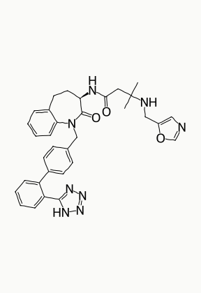 CC(C)(CC(=O)N[C@@H]1CCc2ccccc2N(Cc2ccc(-c3ccccc3-c3nnn[nH]3)cc2)C1=O)NCc1cnco1